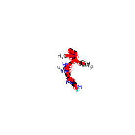 C=CCOC(=O)N1c2cc(OCCCC(=O)Nc3cc(C(=O)Nc4ccc(-c5cc(C(=O)Nc6ccc(NC(=O)C(F)(F)F)cc6)n(C)c5)cc4)n(C)c3)c(OCOCC[Si](C)(C)C)cc2C(=O)N2CCCC[C@H]2C1OC1CCCCO1